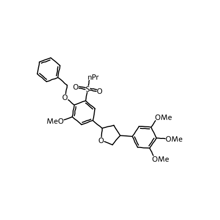 CCCS(=O)(=O)c1cc(C2CC(c3cc(OC)c(OC)c(OC)c3)CO2)cc(OC)c1OCc1ccccc1